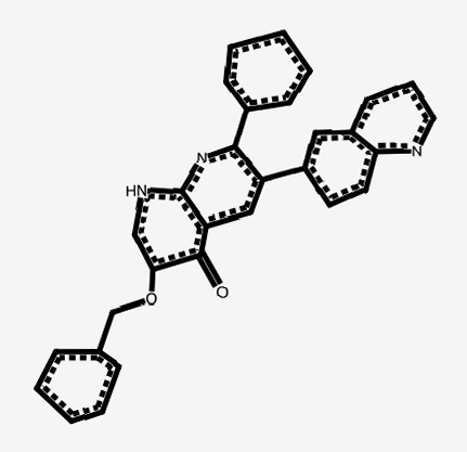 O=c1c(OCc2ccccc2)c[nH]c2nc(-c3ccccc3)c(-c3ccc4ncccc4c3)cc12